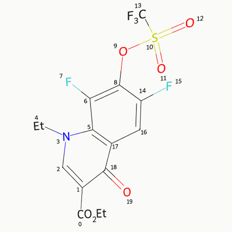 CCOC(=O)c1cn(CC)c2c(F)c(OS(=O)(=O)C(F)(F)F)c(F)cc2c1=O